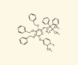 CC1C=C(O[C@H]2O[C@H](CO[Si](c3ccccc3)(c3ccccc3)C(C)(C)C)[C@@H](OCc3ccccc3)[C@H](OCc3ccccc3)[C@@H]2OCc2ccccc2)C=CC1I